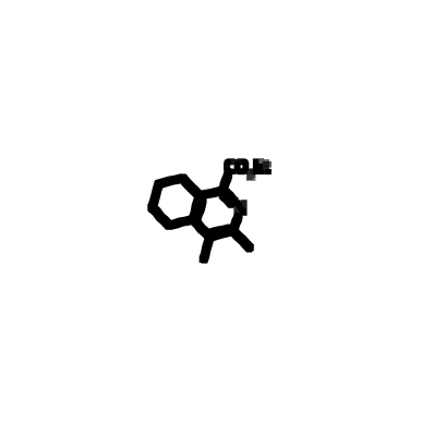 CCOC(=O)c1nc(C)c(C)c2c1CCCC2